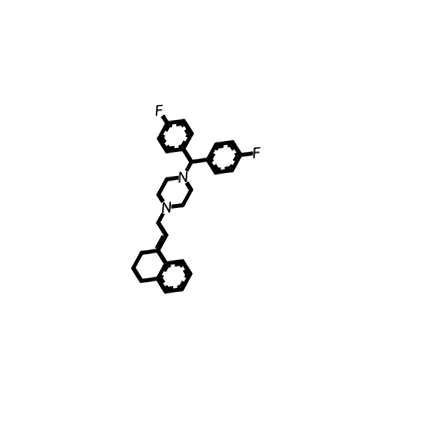 Fc1ccc(C(c2ccc(F)cc2)N2CCN(CC=C3CCCc4ccccc43)CC2)cc1